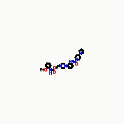 CCOc1ccccc1NC(=O)OCCN1CCN(c2cccc(NC(=O)N3CCC(N4CCCC4)CC3)c2)CC1